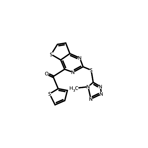 Cn1nnnc1Sc1nc(C(=O)c2cccs2)c2sccc2n1